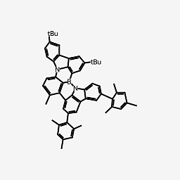 Cc1cc(C)c(-c2ccc3c(c2)c2cc(-c4c(C)cc(C)cc4C)cc4c2n3B2c3c(ccc(C)c3-4)-n3c4ccc(C(C)(C)C)cc4c4cc(C(C)(C)C)cc2c43)c(C)c1